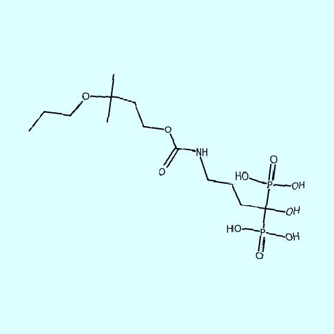 CCCOC(C)(C)CCOC(=O)NCCCC(O)(P(=O)(O)O)P(=O)(O)O